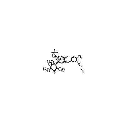 CCCCCOc1cc(C[C@@H](C[C@H](NOC(C)(C)C)[C@@H](O)C(=C=O)[C@@H](C)C(=O)O)C(C)C)ccc1OC